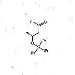 CC(C)[Si](O[C@@H](C)CC(=O)Cl)(C(C)C)C(C)C